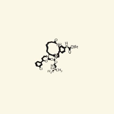 COC(=O)Nc1ccc2c(c1)NC(=O)CC/C=C/C[C@H](N1CCC(c3cccc(Cl)c3)OC1=O)c1nc-2cn1COCC[Si](C)(C)C